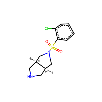 O=S(=O)(c1ccccc1Cl)N1C[C@H]2CNC[C@H]2C1